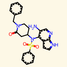 Nc1cnc2[nH]ccc2c1N(C1CCN(Cc2ccccc2)C(=O)C1)S(=O)(=O)c1ccccc1